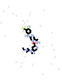 CCN1CC(n2cnc3cnc(C(=O)NC(C)c4cnc(Nc5ccc(Cl)c(C(F)(F)F)c5)cn4)cc32)C1